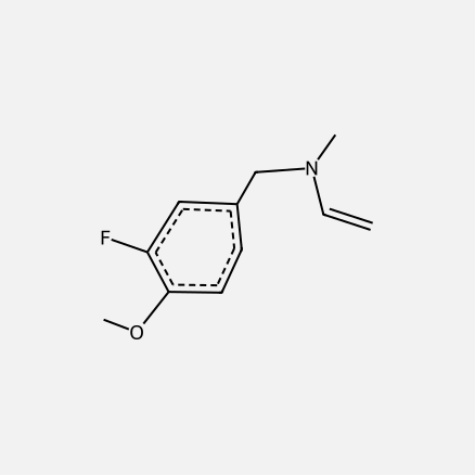 C=CN(C)Cc1ccc(OC)c(F)c1